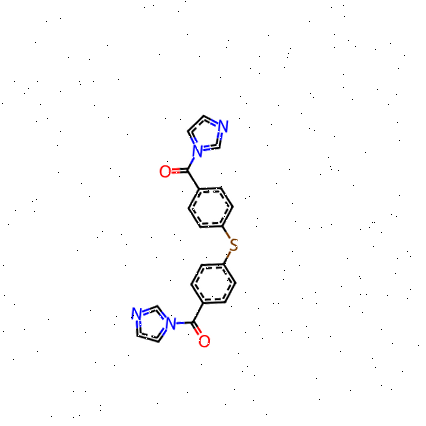 O=C(c1ccc(Sc2ccc(C(=O)n3ccnc3)cc2)cc1)n1ccnc1